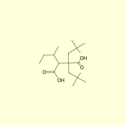 CCC(C)C(C(=O)O)C(CC(C)(C)C)(CC(C)(C)C)C(=O)O